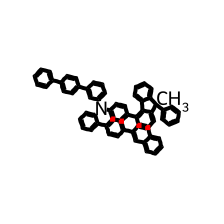 CC1(c2ccccc2)c2ccccc2-c2c(-c3ccc(N(c4cccc(-c5ccc(-c6ccccc6)cc5)c4)c4ccccc4-c4ccc(-c5ccc6ccccc6c5)cc4)cc3)cccc21